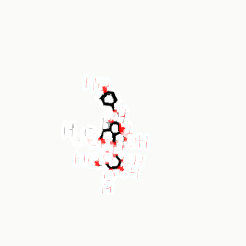 CO[C@@H]1C[C@H]2[C@H](OC(=O)c3ccc(O)cc3)[C@@H]3O[C@]3(CO)[C@H]2[C@H](O[C@@H]2O[C@H](CO)[C@@H](O)C(O)[C@H]2O)O1